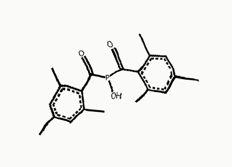 Cc1cc(C)c(C(=O)P(O)C(=O)c2c(C)cc(C)cc2C)c(C)c1